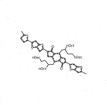 CCCCCCCCCCCCC(CCCCCCCC)Cc1c2cc(-c3cc4sc(-c5ccc(C)s5)cc4s3)c(=O)c2c(CC(CCCCCCCC)CCCCCCCCCCCC)c2cc(-c3cc4sc(C)cc4s3)c(=O)c12